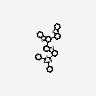 c1ccc(-c2nc(-c3ccccc3)nc(-c3cccc4oc5c(-c6cc(-c7cccc8c7sc7ccccc78)cc7c6sc6ccccc67)cccc5c34)n2)cc1